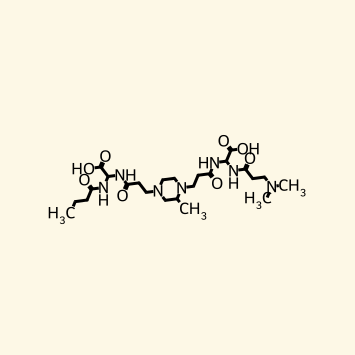 CCCC(=O)NC(NC(=O)CCN1CCN(CCC(=O)NC(NC(=O)CCN(C)C)C(=O)O)C(C)C1)C(=O)O